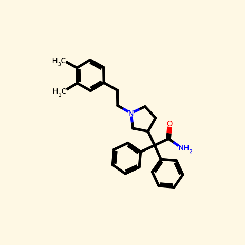 Cc1ccc(CCN2CCC(C(C(N)=O)(c3ccccc3)c3ccccc3)C2)cc1C